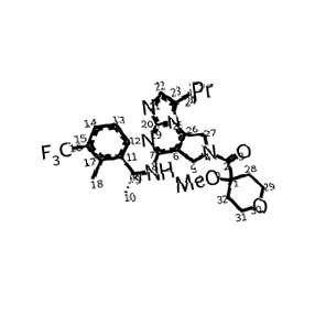 COC1(C(=O)N2Cc3c(N[C@H](C)c4cccc(C(F)(F)F)c4C)nc4ncc(C(C)C)n4c3C2)CCOCC1